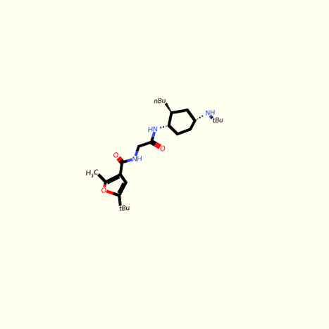 CCCC[C@H]1C[C@H](NC(C)(C)C)CC[C@@H]1NC(=O)CNC(=O)c1cc(C(C)(C)C)oc1C